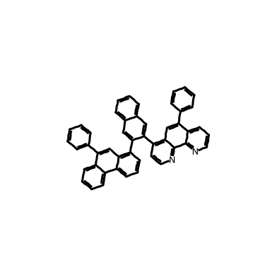 c1ccc(-c2cc3c(-c4cc5ccccc5cc4-c4ccnc5c4cc(-c4ccccc4)c4cccnc45)cccc3c3ccccc23)cc1